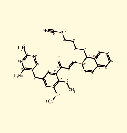 COc1cc(Cc2cnc(N)nc2N)cc(C(=O)/C=C/N2N=Cc3ccccc3C2CCCCSC#N)c1OC